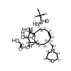 CC(C)(C)[S@@+]([O-])N[C@@H]1C/C=C\[C@@H](CN2CCOCC2)CS[C@H]2O[C@H]1[C@H](O)[C@H](O)[C@H]2O.O=CO